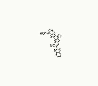 CN(CCO)c1cc2c(s1)-c1sc(/C=C(\C#N)c3nc4ccccc4s3)cc1S21CCC1